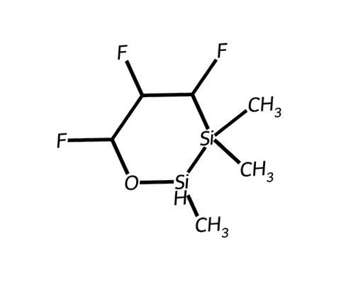 C[SiH]1OC(F)C(F)C(F)[Si]1(C)C